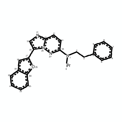 CC(C)N(CCc1ccccc1)c1ccc2ncc(-c3cc4ccccc4o3)n2n1